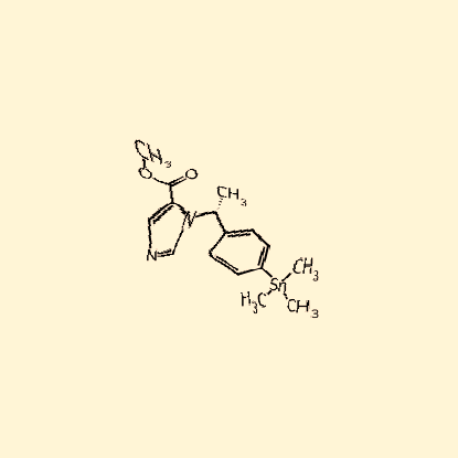 COC(=O)c1cncn1[C@H](C)c1cc[c]([Sn]([CH3])([CH3])[CH3])cc1